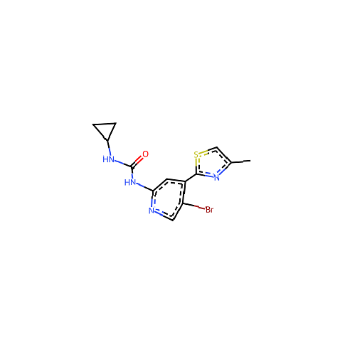 Cc1csc(-c2cc(NC(=O)NC3CC3)ncc2Br)n1